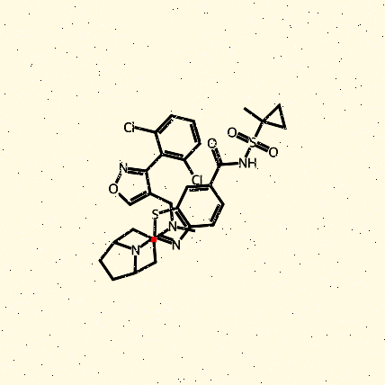 CN(Cc1conc1-c1c(Cl)cccc1Cl)C1CC2CCC(C1)N2c1nc2ccc(C(=O)NS(=O)(=O)C3(C)CC3)cc2s1